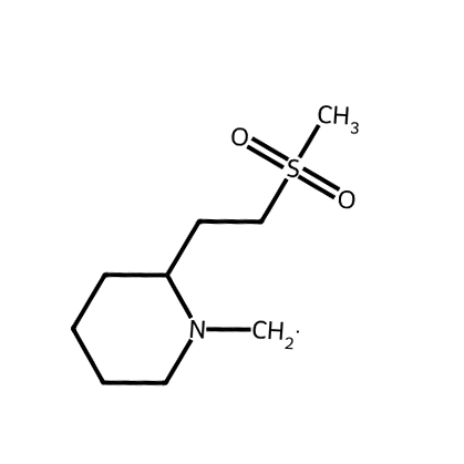 [CH2]N1CCCCC1CCS(C)(=O)=O